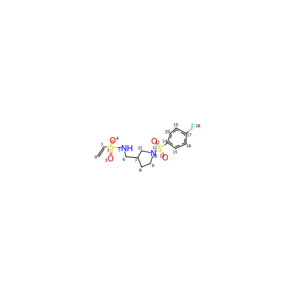 C=CS(=O)(=O)NCC1CCN(S(=O)(=O)c2ccc(F)cc2)C1